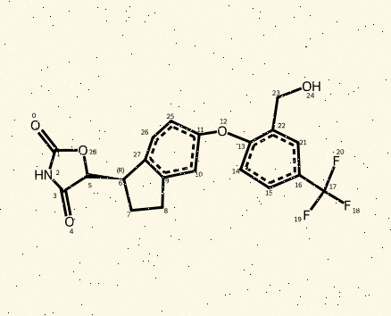 O=C1NC(=O)C([C@@H]2CCc3cc(Oc4ccc(C(F)(F)F)cc4CO)ccc32)O1